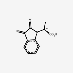 C[C@@H](C(=O)O)N1C(=O)C(=O)c2ccccc21